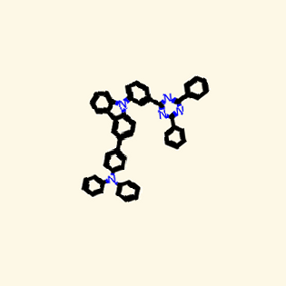 c1ccc(-c2nc(-c3ccccc3)nc(-c3cccc(-n4c5ccccc5c5cc(-c6ccc(N(c7ccccc7)c7ccccc7)cc6)ccc54)c3)n2)cc1